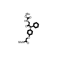 [CH2]NC(=O)COc1ccc([C@@H](C(=O)CNC(=O)OC(C)(C)C)c2ccccc2)cc1